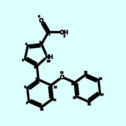 O=C(O)c1ccc(-c2ccccc2Oc2ccccc2)[nH]1